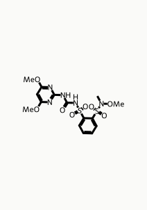 COc1cc(OC)nc(NC(=O)NS(=O)(=O)c2ccccc2S(=O)(=O)N(C)OC)n1